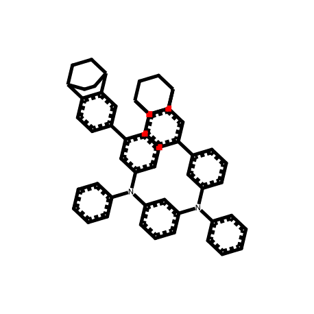 c1ccc(N(c2cccc(-c3ccc4c(c3)C3CCC4CC3)c2)c2cccc(N(c3ccccc3)c3cccc(-c4ccc5c(c4)C4CCC5CC4)c3)c2)cc1